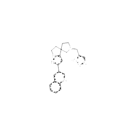 c1ccc2ncc(-c3cc4n(n3)CCC43CCN(Cc4cnn[nH]4)C3)cc2c1